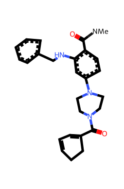 CNC(=O)c1ccc(N2CCN(C(=O)C3=CC=CCC3)CC2)cc1NCc1ccccc1